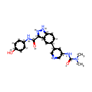 CN(C)C(=O)Nc1cncc(-c2ccc3[nH]nc(C(=O)Nc4ccc(O)cc4)c3c2)c1